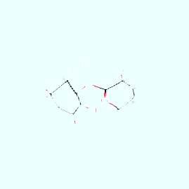 O[C@@H]1[C@@H](O)[C@H](O)[C@@H](OC2OC[C@@H](O)[C@@H](O)[C@@H]2O)[C@@H](O)[C@H]1O